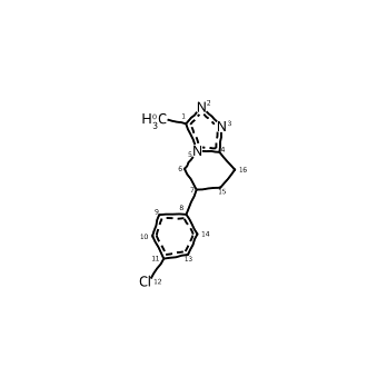 Cc1nnc2n1CC(c1ccc(Cl)cc1)CC2